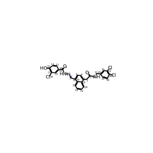 O=C(Cc1ccc(/C=N/NC(=O)c2ccc(O)c(Cl)c2)c2ccccc12)NCc1ccc(Cl)c(Cl)c1